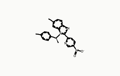 Cc1ccc([C@H](C)n2c(-c3ccc([N+](=O)[O-])cn3)nc3ccc(C)cc32)cc1